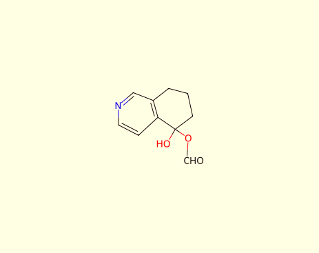 O=COC1(O)CCCc2cnccc21